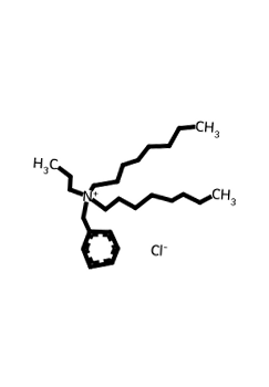 CCCCCCCC[N+](CCC)(CCCCCCCC)Cc1ccccc1.[Cl-]